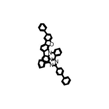 c1ccc(-c2ccc(-c3nc(-c4ccccc4)nc(-c4ccccc4-n4c5ccccc5c5ccc6c7cc(-c8ccccc8)ccc7oc6c54)n3)cc2)cc1